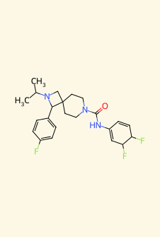 CC(C)N1CC2(CCN(C(=O)NC3=CC(F)C(F)C=C3)CC2)C1c1ccc(F)cc1